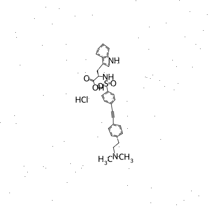 CN(C)CCc1ccc(C#Cc2ccc(S(=O)(=O)N[C@H](Cc3c[nH]c4ccccc34)C(=O)O)cc2)cc1.Cl